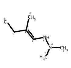 C/C(=C\NN(C)C)CCl